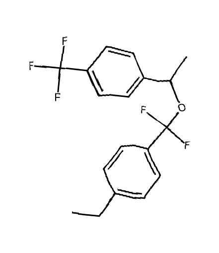 CCc1ccc(C(F)(F)OC(C)c2ccc(C(F)(F)F)cc2)cc1